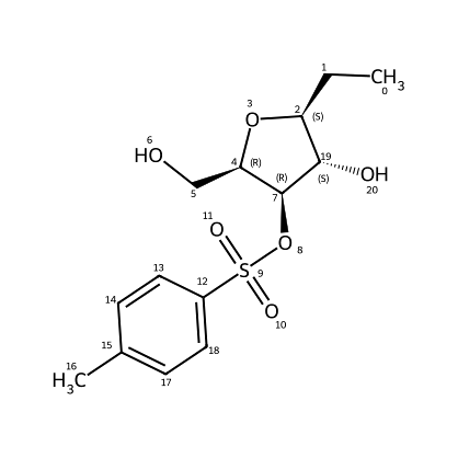 CC[C@@H]1O[C@H](CO)[C@H](OS(=O)(=O)c2ccc(C)cc2)[C@H]1O